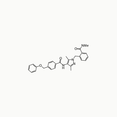 CNC(=O)c1ccccc1Cn1nc(C)c(NC(=O)c2ccc(COc3ccccc3)cc2)c1C